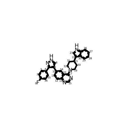 Fc1ccc(-c2n[nH]cc2-c2ccc3ncnc(N4CCC(c5c[nH]c6ccccc56)CC4)c3c2)cc1